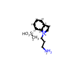 CS(=O)(=O)O.NCCCn1ccc2ccccc21